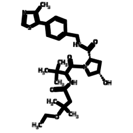 CCOC(C)(C)CC(=O)NC(C(=O)N1C[C@@H](O)C[C@H]1C(=O)NCc1ccc(-c2scnc2C)cc1)C(C)(C)C